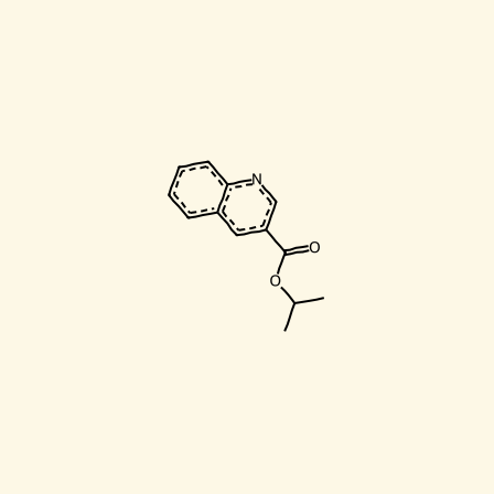 CC(C)OC(=O)c1cnc2ccccc2c1